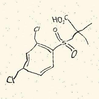 CC(C)(C(=O)O)S(=O)(=O)c1ccc(Cl)cc1Cl